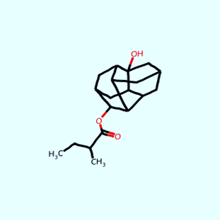 CCC(C)C(=O)OC1C2CC3C4CC5CC(C41)C(C2)C3(O)C5